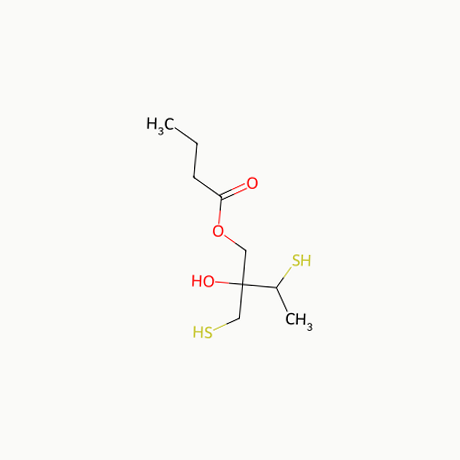 CCCC(=O)OCC(O)(CS)C(C)S